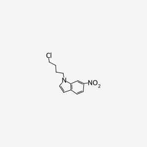 O=[N+]([O-])c1ccc2ccn(CCCCCl)c2c1